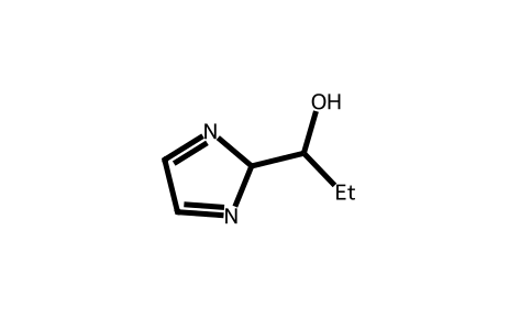 CCC(O)C1N=CC=N1